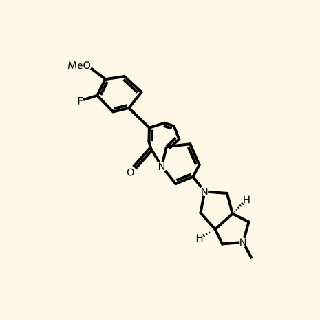 COc1ccc(C2=C\C(=O)N3C=C(N4C[C@H]5CN(C)C[C@H]5C4)C=C\C3=C/C=C/2)cc1F